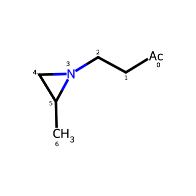 CC(=O)CCN1CC1C